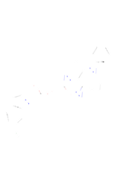 CC(=N)/C(NC(=O)COC(=O)Cn1ccc2ccc(Cl)cc21)=C(/C)Nc1ccccc1